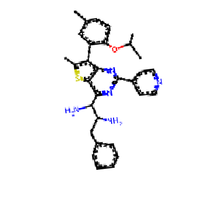 Cc1ccc(OC(C)C)c(-c2c(C)sc3c(C(N)C(N)Cc4ccccc4)nc(-c4ccncc4)nc23)c1